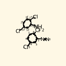 N#[N+]c1cc(Cl)ccc1Cl.Nc1cc(Cl)ccc1Cl